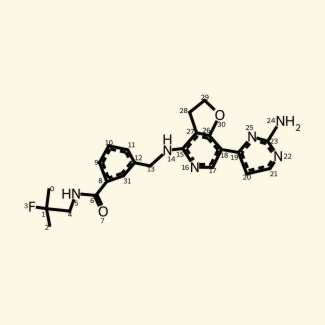 CC(C)(F)CNC(=O)c1cccc(CNc2ncc(-c3ccnc(N)n3)c3c2CCO3)c1